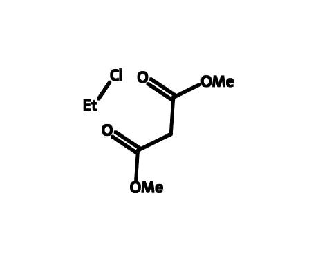 CCCl.COC(=O)CC(=O)OC